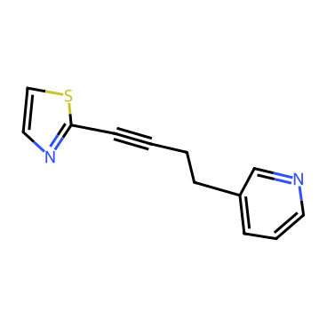 C(#Cc1nccs1)CCc1cccnc1